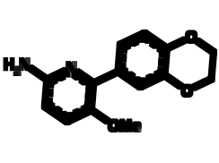 COc1ccc(N)nc1-c1ccc2c(c1)OCCO2